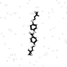 CC1(CCOc2ccc(OC(=O)c3ccc(OCCC4(C)CO4)cc3)cc2)CO1